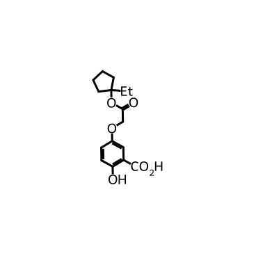 CCC1(OC(=O)COc2ccc(O)c(C(=O)O)c2)CCCC1